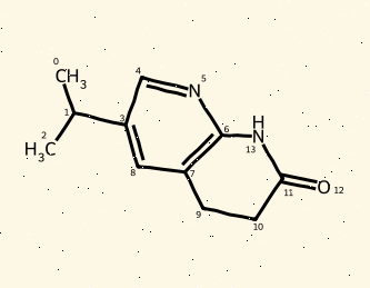 CC(C)c1cnc2c(c1)CCC(=O)N2